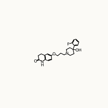 O=C1CCc2cc(OCCCN3CCC(O)(c4ccccc4F)CC3)ccc2N1